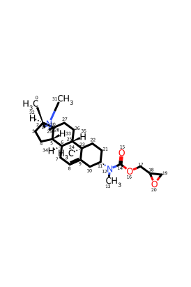 C[C@H]1[C@H]2CC[C@H]3[C@@H]4CC=C5C[C@@H](N(C)C(=O)OCC6CO6)CC[C@]5(C)[C@H]4CCC23CN1C